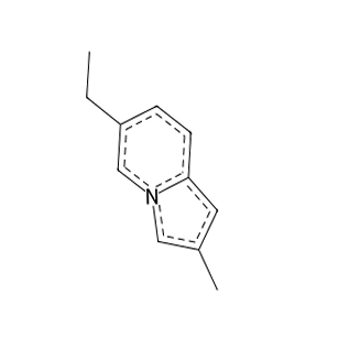 CCc1ccc2cc(C)cn2c1